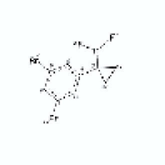 FC(F)C1(c2cc(Br)cc(Br)c2)CC1